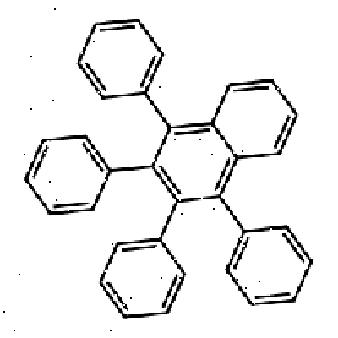 [c]1cccc2c(-c3ccccc3)c(-c3ccccc3)c(-c3ccccc3)c(-c3ccccc3)c12